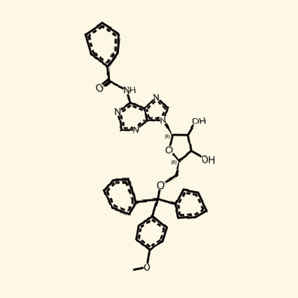 COc1ccc(C(OC[C@H]2O[C@@H](n3cnc4c(NC(=O)c5ccccc5)ncnc43)C(O)C2O)(c2ccccc2)c2ccccc2)cc1